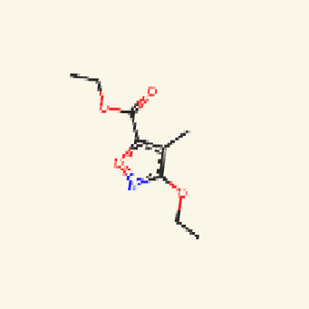 CCOC(=O)c1onc(OCC)c1C